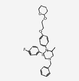 CC1CN(Cc2ccccc2)C[C@@H](c2ccc(F)cc2)N1c1ccc(OCCOC2CCCCO2)cc1